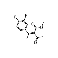 COC(=O)C(C(C)=O)=C(C)c1ccc(F)c(F)c1